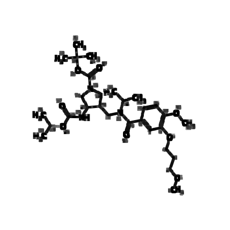 COCCCOc1cc(C(=O)N(CC2CN(C(=O)OC(C)(C)C)CC2NC(=O)OC(C)C)C(C)C)ccc1OC